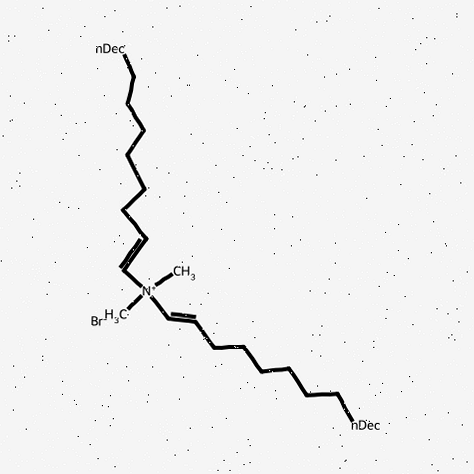 CCCCCCCCCCCCCCCCC=C[N+](C)(C)C=CCCCCCCCCCCCCCCCC.[Br-]